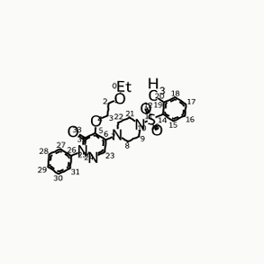 CCOCCOc1c(N2CCN(S(=O)(=O)c3ccccc3C)CC2)cnn(-c2ccccc2)c1=O